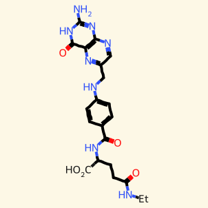 CCNC(=O)CCC(NC(=O)c1ccc(NCc2cnc3nc(N)[nH]c(=O)c3n2)cc1)C(=O)O